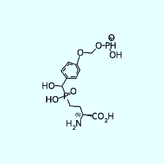 N[C@@H](CCP(=O)(O)C(O)c1ccc(OCO[PH](=O)O)cc1)C(=O)O